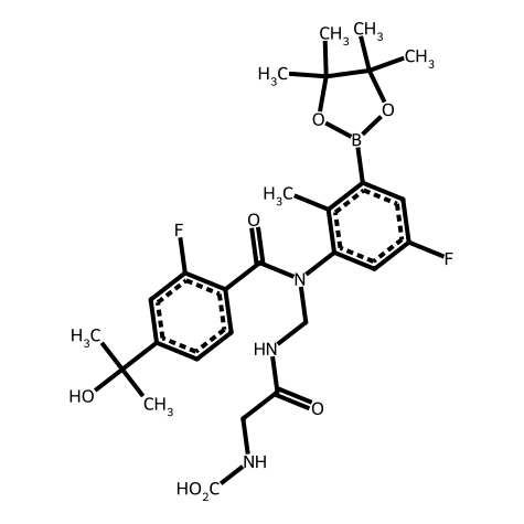 Cc1c(B2OC(C)(C)C(C)(C)O2)cc(F)cc1N(CNC(=O)CNC(=O)O)C(=O)c1ccc(C(C)(C)O)cc1F